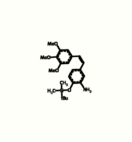 COc1cc(/C=C\c2ccc(O[Si](C)(C)C(C)(C)C)c(N)c2)cc(OC)c1OC